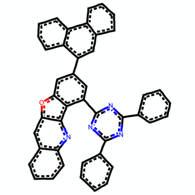 c1ccc(-c2nc(-c3ccccc3)nc(-c3cc(-c4cc5ccccc5c5ccccc45)cc4oc5cc6ccccc6nc5c34)n2)cc1